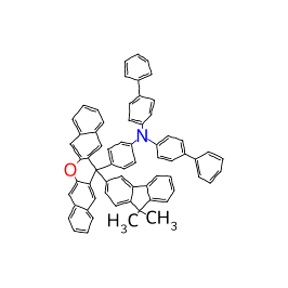 CC1(C)c2ccccc2-c2cc(C3(c4ccc(N(c5ccc(-c6ccccc6)cc5)c5ccc(-c6ccccc6)cc5)cc4)c4cc5ccccc5cc4Oc4cc5ccccc5cc43)ccc21